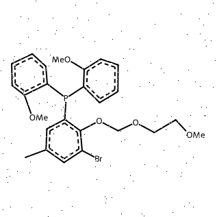 COCCOCOc1c(Br)cc(C)cc1P(c1ccccc1OC)c1ccccc1OC